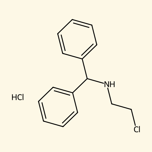 Cl.ClCCNC(c1ccccc1)c1ccccc1